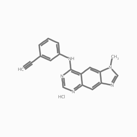 C#Cc1cccc(Nc2ncnc3cc4ncn(C)c4cc23)c1.Cl